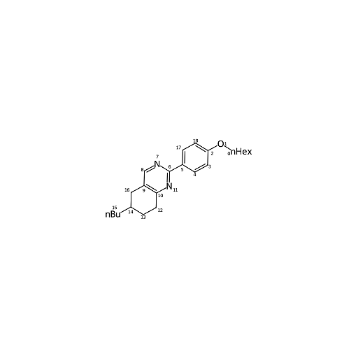 CCCCCCOc1ccc(-c2ncc3c(n2)CCC(CCCC)C3)cc1